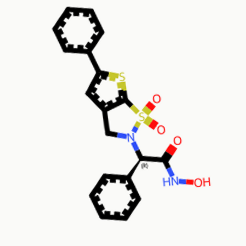 O=C(NO)[C@@H](c1ccccc1)N1Cc2cc(-c3ccccc3)sc2S1(=O)=O